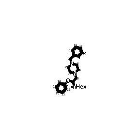 CCCCCCC(CN1CCN(Cc2ccccc2)CC1)Oc1ccccc1